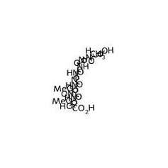 COc1c(NC(=O)c2ccc(NC(=O)c3ccc(NC(=O)CNC(=O)c4ccc(NC(=O)/C(C)=C/c5ccc(O)cc5)cn4)cn3)c(OC)c2N=O)ccc(C(=O)O)c1O